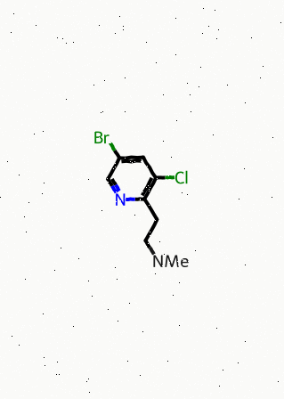 CNCCc1ncc(Br)cc1Cl